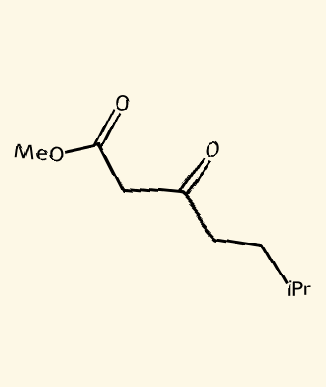 COC(=O)CC(=O)CCC(C)C